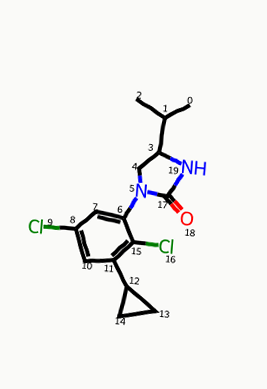 CC(C)C1CN(c2cc(Cl)cc(C3CC3)c2Cl)C(=O)N1